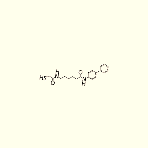 O=C(CS)NCCCCCC(=O)Nc1ccc(-c2ccccc2)cc1